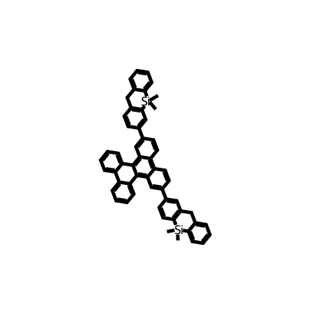 C[Si]1(C)c2ccccc2Cc2cc(-c3ccc4c5ccc(-c6ccc7c(c6)[Si](C)(C)c6ccccc6C7)cc5c5c6ccccc6c6ccccc6c5c4c3)ccc21